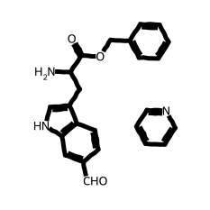 NC(Cc1c[nH]c2cc(C=O)ccc12)C(=O)OCc1ccccc1.c1ccncc1